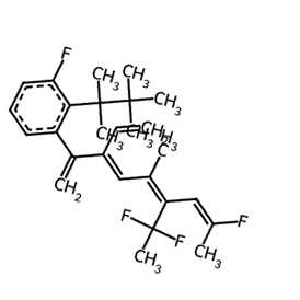 C=C\C(=C/C(C)=C(/C=C(\C)F)C(C)(F)F)C(=C)c1cccc(F)c1C(C)(C)C(C)(C)C